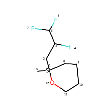 C[Si]1(CC(F)C(F)F)CCCCO1